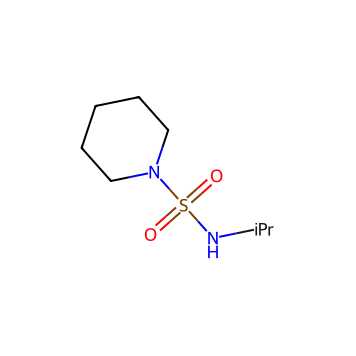 CC(C)NS(=O)(=O)N1CCCCC1